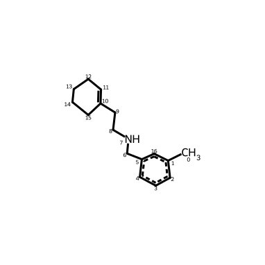 Cc1cccc(CNCCC2=CCCCC2)c1